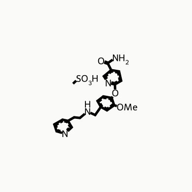 COc1cc(CNCCc2cccnc2)ccc1Oc1ccc(C(N)=O)cn1.CS(=O)(=O)O